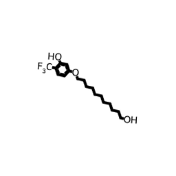 OCCCCCCCCCCCOc1ccc(C(F)(F)F)c(O)c1